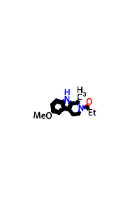 CCC(=O)N1CCc2c([nH]c3ccc(OC)cc23)C1C